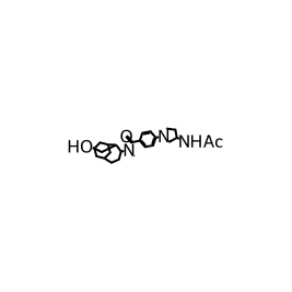 CC(=O)NC1CCN(c2ccc(C(=O)N(C)C3CCC4CC5CC(O)(C4)CC53)cc2)C1